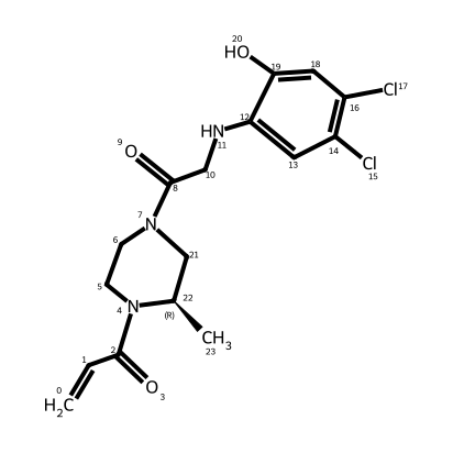 C=CC(=O)N1CCN(C(=O)CNc2cc(Cl)c(Cl)cc2O)C[C@H]1C